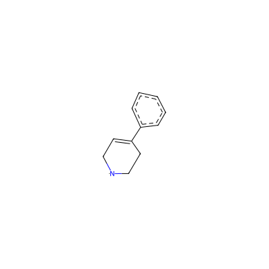 C1=C(c2ccccc2)CC[N]C1